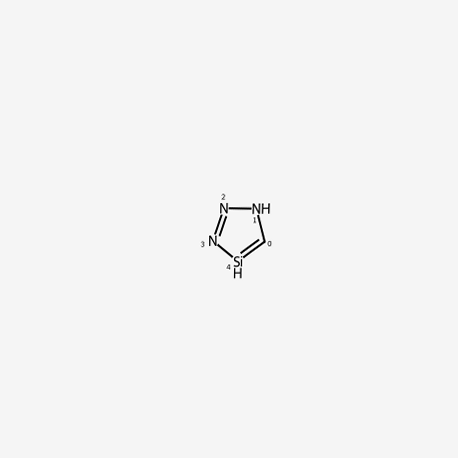 c1[nH]nn[siH]1